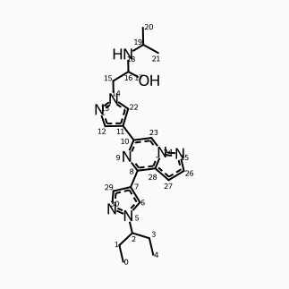 CCC(CC)n1cc(-c2nc(-c3cnn(CC(O)NC(C)C)c3)cn3nccc23)cn1